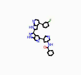 O=C(Nc1cncc(-c2cc3c(-c4cc5c(-c6cccc(F)c6)ccnc5[nH]4)n[nH]c3cn2)c1)c1ccccc1